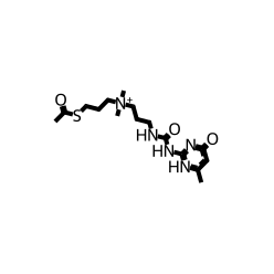 CC(=O)SCCC[N+](C)(C)CCCNC(=O)Nc1nc(=O)cc(C)[nH]1